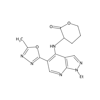 CCn1ncc2c(NC3CCCOC3=O)c(-c3nnc(C)o3)cnc21